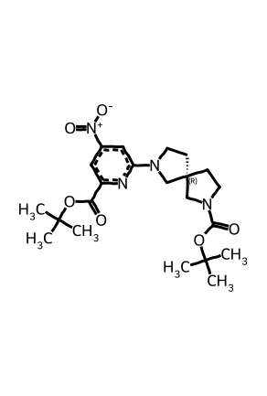 CC(C)(C)OC(=O)c1cc([N+](=O)[O-])cc(N2CC[C@@]3(CCN(C(=O)OC(C)(C)C)C3)C2)n1